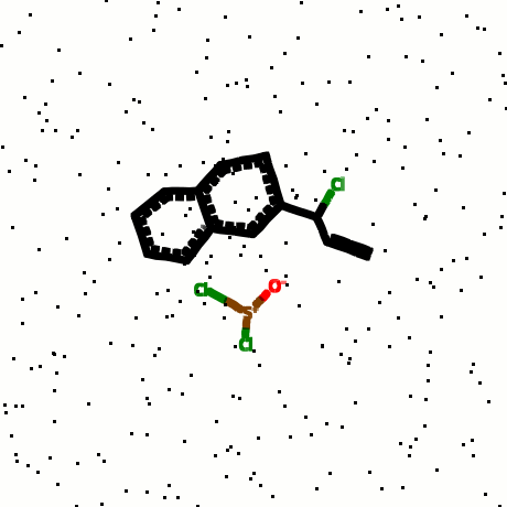 C=CC(Cl)c1ccc2ccccc2c1.[O-][S+](Cl)Cl